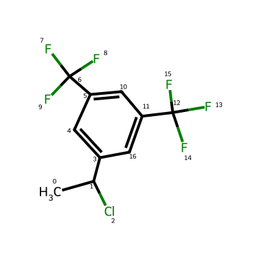 CC(Cl)c1cc(C(F)(F)F)cc(C(F)(F)F)c1